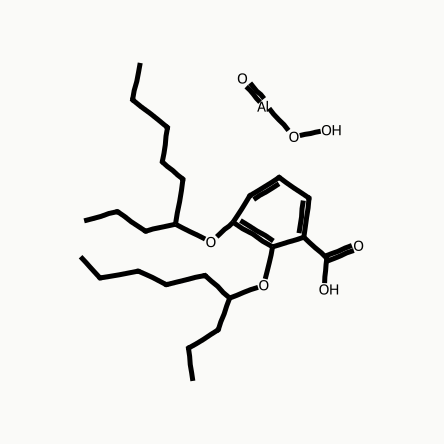 CCCCCC(CCC)Oc1cccc(C(=O)O)c1OC(CCC)CCCCC.[O]=[Al][O]O